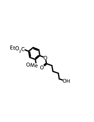 CCOC(=O)c1ccc(OC(=O)CCCCO)c(OC)c1